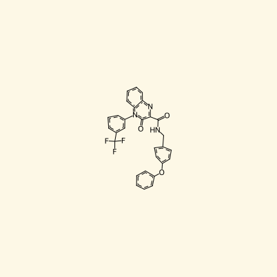 O=C(NCc1ccc(Oc2ccccc2)cc1)c1nc2ccccc2n(-c2cccc(C(F)(F)F)c2)c1=O